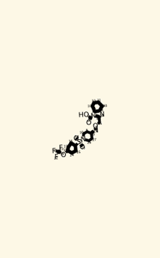 O=C(O)n1c(CON=C2CCN(S(=O)(=O)c3ccc(OC(F)(F)F)cc3)CC2)nc2ccccc21